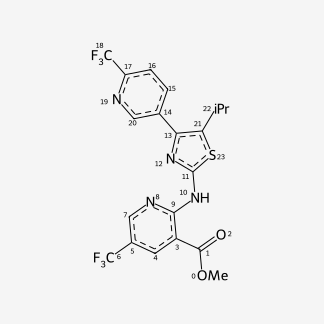 COC(=O)c1cc(C(F)(F)F)cnc1Nc1nc(-c2ccc(C(F)(F)F)nc2)c(C(C)C)s1